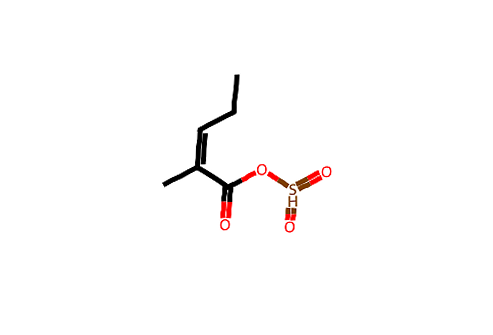 CCC=C(C)C(=O)O[SH](=O)=O